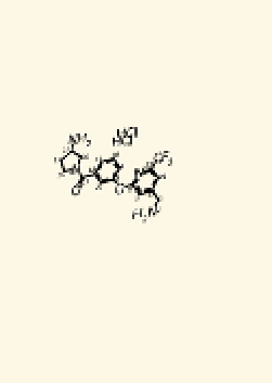 Cl.Cl.NCc1cc(Oc2cccc(C(=O)N3CC[C@@H](N)C3)c2)nc(C(F)(F)F)c1